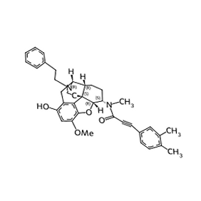 COc1cc(O)c2c3c1O[C@H]1[C@@H](N(C)C(=O)C#Cc4ccc(C)c(C)c4)CC[C@H]4[C@@H](C2)N(CCc2ccccc2)CC[C@@]341